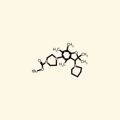 Cc1c(C)c(N2CCN(C(=O)OC(C)(C)C)CC2)c(C)c2c1OC(C)(C)C2N1CCCCC1